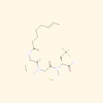 C/C=C/C[C@@H](C)[C@H](O)CC(=O)N[C@@H](CC)C(=O)N(C)[C@@H](SC)C(=O)N(C)[C@@H](CC(C)(C)O)C(N)=O